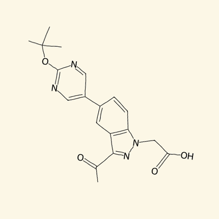 CC(=O)c1nn(CC(=O)O)c2ccc(-c3cnc(OC(C)(C)C)nc3)cc12